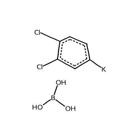 Clc1cc[c]([K])cc1Cl.OB(O)O